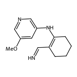 COc1cncc(NC2=C(C=N)CCCC2)c1